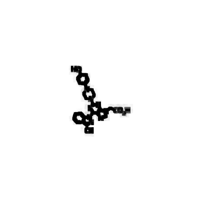 N#Cc1nn(-c2nc(N3CCN(c4ccc(O)cc4)CC3)nc3c2ncn3CC(=O)O)c2ccccc12